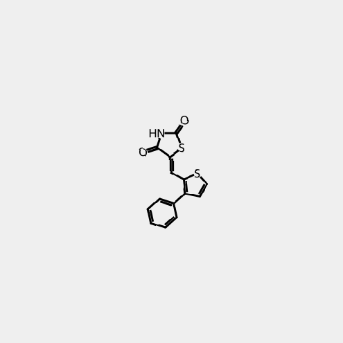 O=C1NC(=O)C(=Cc2sccc2-c2ccccc2)S1